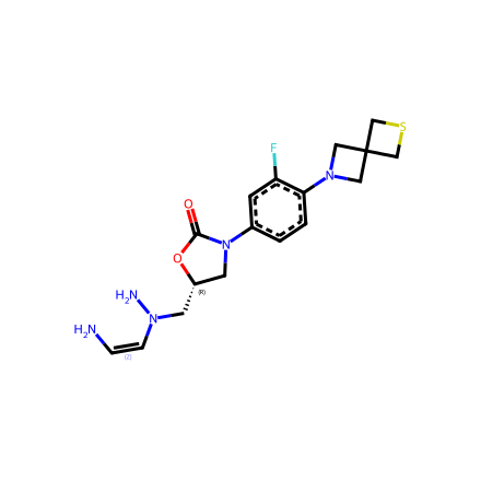 N/C=C\N(N)C[C@H]1CN(c2ccc(N3CC4(CSC4)C3)c(F)c2)C(=O)O1